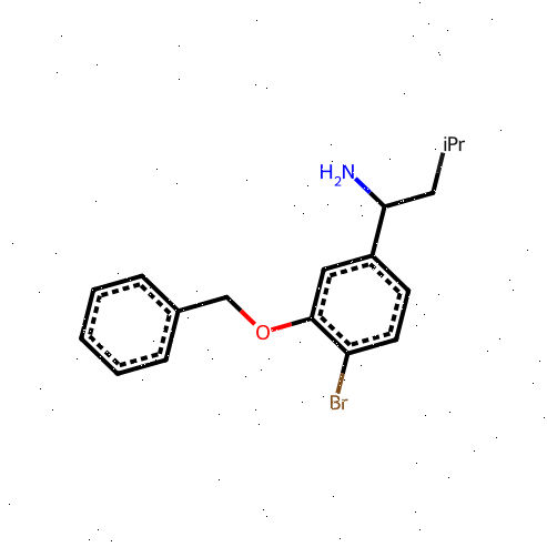 CC(C)CC(N)c1ccc(Br)c(OCc2ccccc2)c1